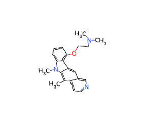 Cc1c2ccncc2cc2c3c(OCCN(C)C)cccc3n(C)c12